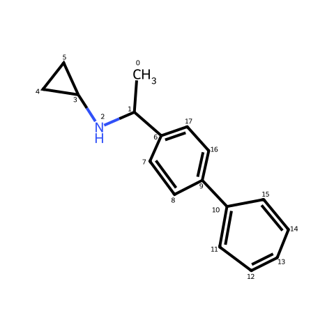 CC(NC1CC1)c1ccc(-c2ccccc2)cc1